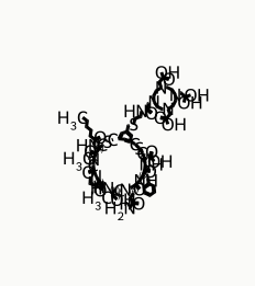 CCCCCC(=O)N[C@H]1CSCc2cc(CSCCNC(=O)CN3CCN(CC(=O)O)CCN(CC(O)O)CCN(CC(=O)O)CC3)cc(c2)CSC[C@@H](C(=O)O)NC(=O)[C@H](Cc2ccccc2)NC(=O)[C@H](CCC(N)=O)NC[C@H]([C@@H](C)O)NC(=O)[C@@H]2CCCN2C(=O)CN(C)C1=O